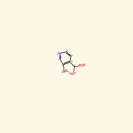 O=[N+]([O-])c1cnccc1C(O)O